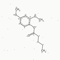 [CH2]CCCC(=O)Oc1ccc(OC)cc1OC